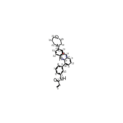 C=CC(=O)Nc1cccc(C2=CC=CC(=C/N=C)/C2=N\c2ccc(N3CCCOCC3)cc2)c1